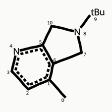 Cc1ccnc2c1CN(C(C)(C)C)C2